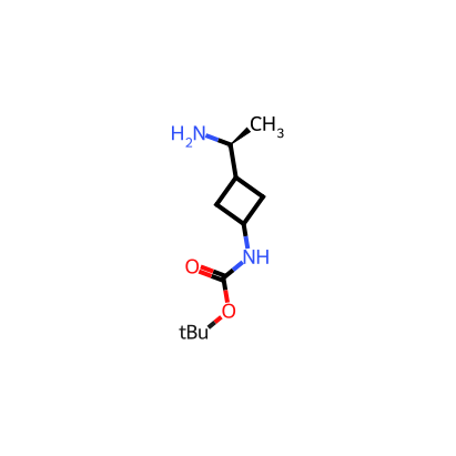 C[C@H](N)C1CC(NC(=O)OC(C)(C)C)C1